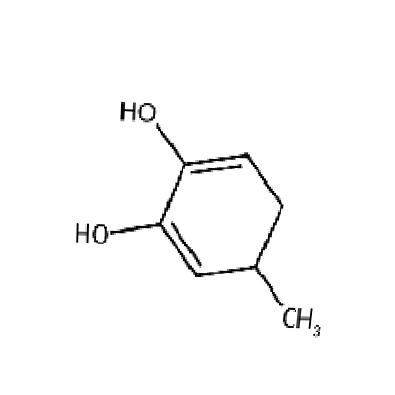 CC1C=C(O)C(O)=CC1